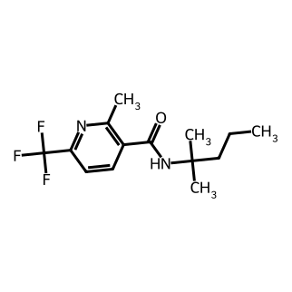 CCCC(C)(C)NC(=O)c1ccc(C(F)(F)F)nc1C